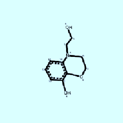 OCCN1CCOc2c(O)cccc21